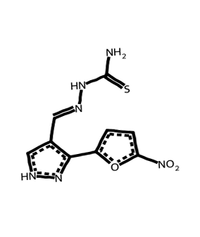 NC(=S)NN=Cc1c[nH]nc1-c1ccc([N+](=O)[O-])o1